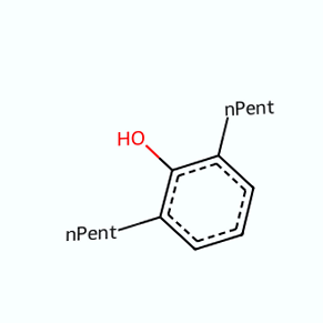 CCCCCc1cccc(CCCCC)c1O